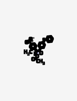 CC(=O)O/N=C(\C(=O)C1=CC[C@@H](Sc2ccccc2)C=C1)c1ccc([N+](=O)[O-])cc1C